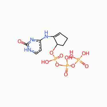 O=c1nc(NC2=CCCC2OP(=O)(O)OP(=O)(O)OP(=O)(O)O)cc[nH]1